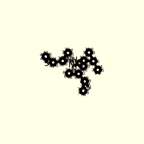 c1ccc(-c2ccc(-c3ccccc3)c(-c3ccc4c5c(cccc35)-c3c-4nc(-n4c5ccccc5c5cc(-c6ccc7sc8ccccc8c7c6)ccc54)nc3-n3c4ccccc4c4cc(-c5ccc6sc7ccccc7c6c5)ccc43)c2)cc1